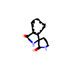 O=C1NC2(CCNC2=O)c2ccccc21